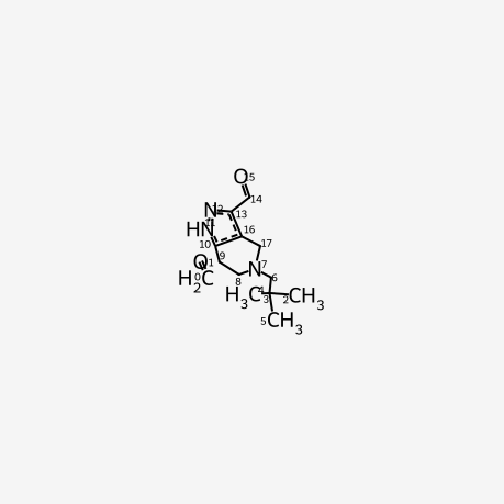 C=O.CC(C)(C)CN1CCc2[nH]nc(C=O)c2C1